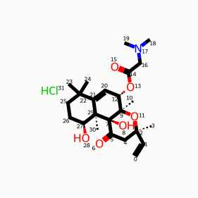 C=C[C@@]1(C)CC(=O)[C@@]2(O)[C@](C)(O1)[C@@H](OC(=O)CN(C)C)C=C1C(C)(C)CC[C@H](O)[C@@]12C.Cl